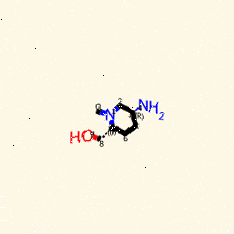 CN1C[C@H](N)CC[C@@H]1CO